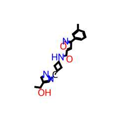 Cc1cccc(-c2cc(C(=O)N[C@H]3C[C@H](Cn4cc(C(C)O)cn4)C3)on2)c1